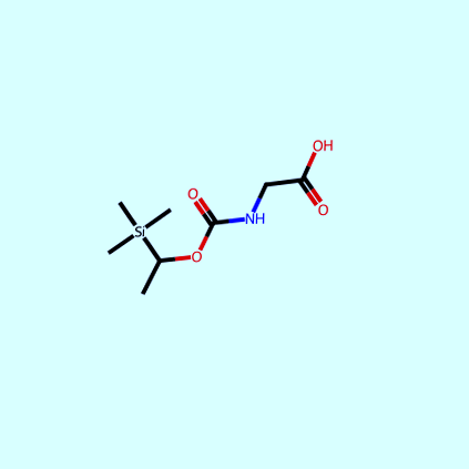 CC(OC(=O)NCC(=O)O)[Si](C)(C)C